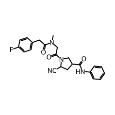 CN(CC(=O)N1CC(C(=O)Nc2ccccc2)CC1C#N)C(=O)Cc1ccc(F)cc1